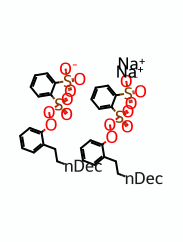 CCCCCCCCCCCCc1ccccc1OOS(=O)(=O)c1ccccc1S(=O)(=O)[O-].CCCCCCCCCCCCc1ccccc1OOS(=O)(=O)c1ccccc1S(=O)(=O)[O-].[Na+].[Na+]